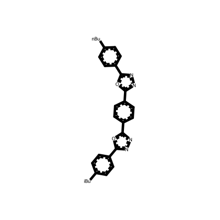 CCCCc1ccc(-c2nnc(-c3ccc(-c4nnc(-c5ccc(C(C)CC)cc5)o4)cc3)o2)cc1